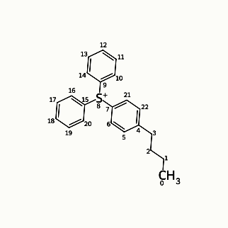 CCCCc1ccc([S+](c2ccccc2)c2ccccc2)cc1